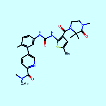 CON(C)C(=O)c1ccc(-c2cc(NC(=O)Nc3sc(C(C)(C)C)cc3C(=O)N3CCN(C)C(=O)C3(C)C)ccc2C)cn1